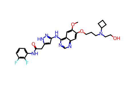 COc1cc2c(Nc3cc(CC(=O)Nc4cccc(F)c4F)[nH]n3)ncnc2cc1OCCCN(CCO)C1CCC1